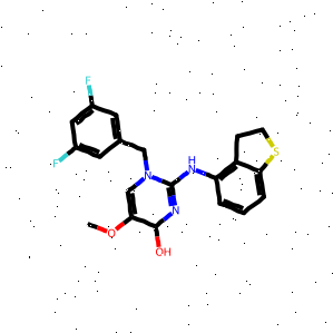 COC1=CN(Cc2cc(F)cc(F)c2)C(Nc2cccc3c2CCS3)=NC1O